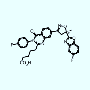 C[C@]1(c2nc3cc(F)ccc3o2)CC(c2ccc3c(=O)n(-c4ccc(F)cc4)c(CCCCC(=O)O)nc3c2)=NO1